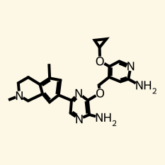 Cc1cc(-c2cnc(N)c(OCc3cc(N)ncc3OC3CC3)n2)cc2c1CCN(C)C2